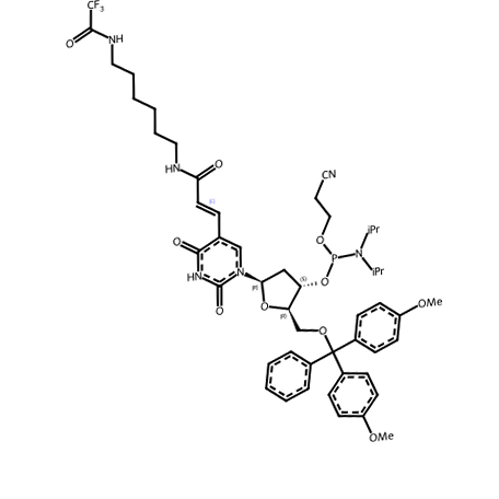 COc1ccc(C(OC[C@H]2O[C@@H](n3cc(/C=C/C(=O)NCCCCCCNC(=O)C(F)(F)F)c(=O)[nH]c3=O)C[C@@H]2OP(OCCC#N)N(C(C)C)C(C)C)(c2ccccc2)c2ccc(OC)cc2)cc1